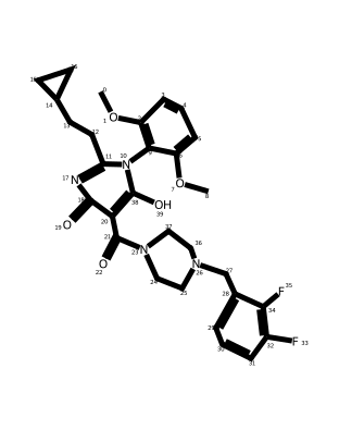 COc1cccc(OC)c1-n1c(CCC2CC2)nc(=O)c(C(=O)N2CCN(Cc3cccc(F)c3F)CC2)c1O